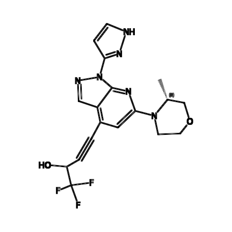 C[C@@H]1COCCN1c1cc(C#CC(O)C(F)(F)F)c2cnn(-c3cc[nH]n3)c2n1